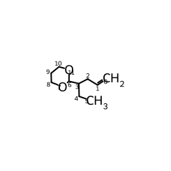 C=CCC(CC)C1OCCCO1